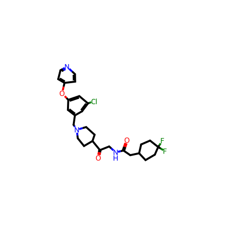 O=C(CC1CCC(F)(F)CC1)NCC(=O)C1CCN(Cc2cc(Cl)cc(Oc3ccncc3)c2)CC1